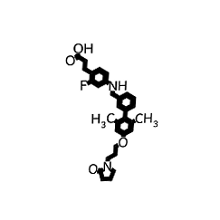 Cc1cc(OCCCN2CCCC2=O)cc(C)c1-c1cccc(CNc2ccc(CCC(=O)O)c(F)c2)c1